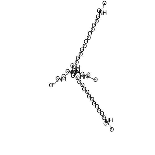 O=CCCCCC(=O)NCCOCCCC(=O)NCC(CNC(=O)CCCOCCNC(=O)CCCCC=O)(CNC(=O)CCOCCOCCOCCOCCOCCOCCOCCOCCOCCOCCOCCOCCNC(=O)CCCCC=O)CNC(=O)CCOCCOCCOCCOCCOCCOCCOCCOCCOCCOCCOCCOCCNC(=O)CCCCC=O